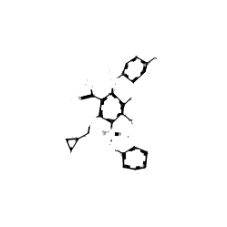 NC(=O)c1c(Nc2ccc(I)cc2)c(F)c(F)c(S(=O)(=O)Nc2ccccc2)c1OCC1CC1